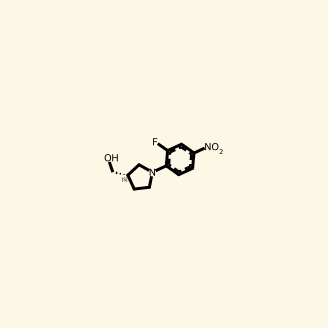 O=[N+]([O-])c1ccc(N2CC[C@H](CO)C2)c(F)c1